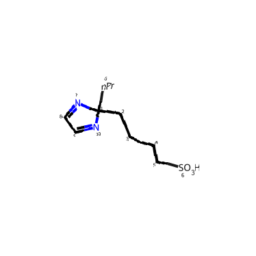 CCCC1(CCCCS(=O)(=O)O)N=CC=N1